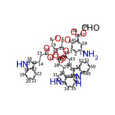 Nc1ccc(O[C@@H]2OC[C@@H](OC(=O)CCc3c[nH]c4ccccc34)[C@H](OC(=O)CCc3c[nH]c4ccccc34)[C@H]2OC(=O)CCc2c[nH]c3ccccc23)c(C(=O)OC=O)c1